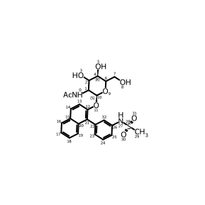 CC(=O)NC1C(O)[C@@H](O)C(CO)O[C@H]1Oc1ccc2ccccc2c1-c1cccc(NS(C)(=O)=O)c1